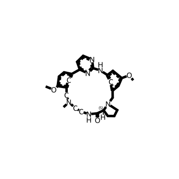 COc1cc2cc(c1)Nc1nccc(n1)-c1ccc(OC)c(c1)CN(C)CCNC(=O)[C@@H]1CCCN1C2